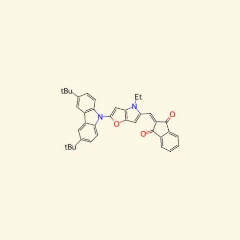 CCn1c(C=C2C(=O)c3ccccc3C2=O)cc2oc(-n3c4ccc(C(C)(C)C)cc4c4cc(C(C)(C)C)ccc43)cc21